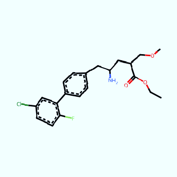 CCOC(=O)C(COC)CC(N)Cc1ccc(-c2cc(Cl)ccc2F)cc1